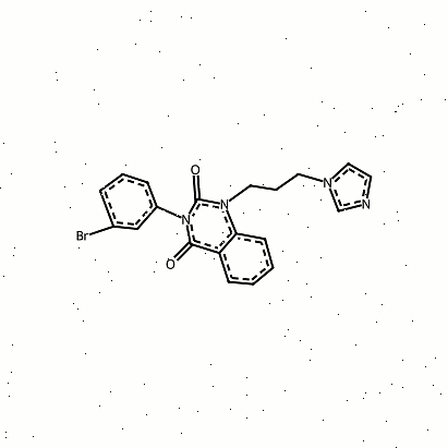 O=c1c2ccccc2n(CCCn2ccnc2)c(=O)n1-c1cccc(Br)c1